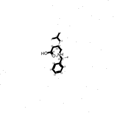 CC(C)C[C@H](CN[C@H](C)c1ccccc1)CC(=O)O